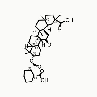 CC1(C)[C@@H](OC(=O)[C@H]2CCCC[C@H]2C(=O)O)CC[C@]2(C)[C@H]3C(=O)C=C4[C@@H]5C[C@@](C)(C(=O)O)CC[C@]5(C)CC[C@@]4(C)[C@]3(C)CC[C@@H]12